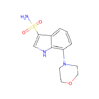 NS(=O)(=O)c1c[nH]c2c(N3CCOCC3)cccc12